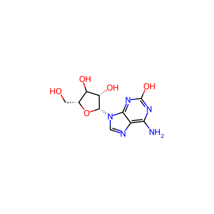 Nc1nc(O)nc2c1ncn2[C@@H]1O[C@H](CO)C(O)[C@@H]1O